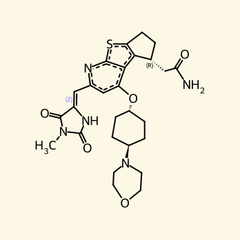 CN1C(=O)N/C(=C\c2cc(O[C@H]3CC[C@H](N4CCOCC4)CC3)c3c4c(sc3n2)CC[C@@H]4CC(N)=O)C1=O